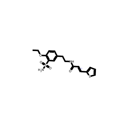 CCOc1ccc(CCNC(=O)/C=C/c2cccs2)cc1S(N)(=O)=O